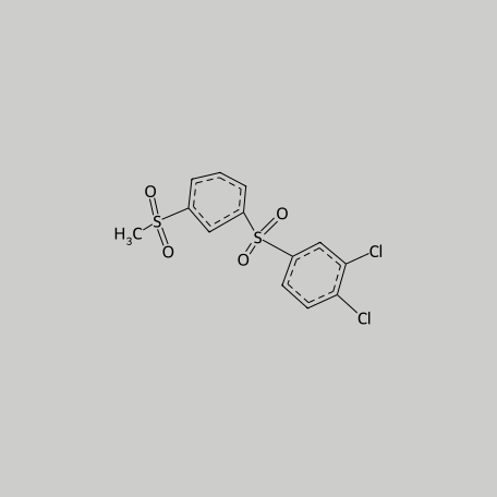 CS(=O)(=O)c1cccc(S(=O)(=O)c2ccc(Cl)c(Cl)c2)c1